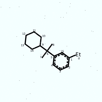 CCc1cccc(C(C)(C)C2CCCCC2)c1